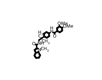 COc1ccc(C(=O)Nc2ccc(C(C)(C)CNC(=O)c3cc4ccccc4n3C)cc2)cc1OC